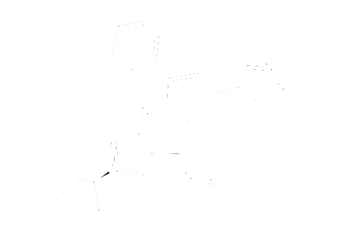 CC(=O)N1CCc2c(c(N(Cc3ccccc3)C3=CCC(C4C=NN(C)C4)C=C3)nn2[C@H]2CCOC2)C1